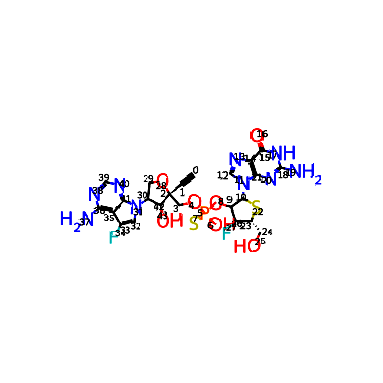 C#C[C@]1(COP(O)(=S)OC2[C@H](n3cnc4c(=O)[nH]c(N)nc43)S[C@H](CO)[C@H]2F)OCC(n2cc(F)c3c(N)ncnc32)[C@@H]1O